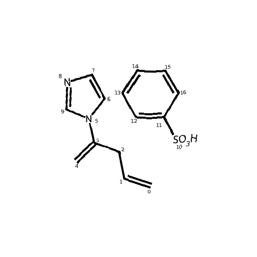 C=CCC(=C)n1ccnc1.O=S(=O)(O)c1ccccc1